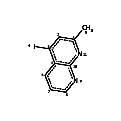 Cc1cc(I)c2cccnc2n1